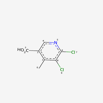 Cc1c(C(=O)O)cnc(Cl)c1Cl